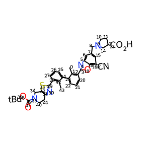 Cc1c(-c2nc3cc(CN4CC[C@H](C(=O)O)C4)cc(C#N)c3o2)cccc1-c1cccc(-c2nc3c(s2)CN(C(=O)OC(C)(C)C)CC3)c1C